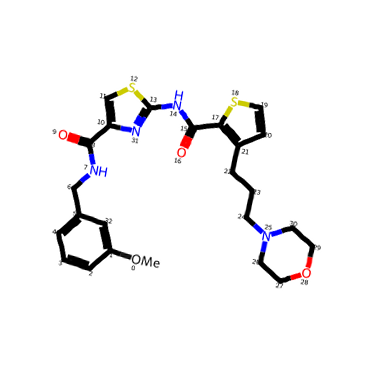 COc1cccc(CNC(=O)c2csc(NC(=O)c3sccc3CCCN3CCOCC3)n2)c1